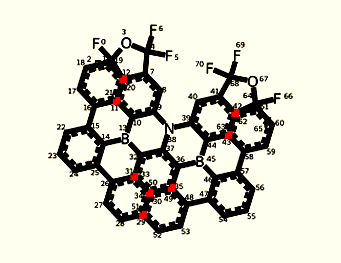 FC1(F)OC(F)(F)c2cc3c(cc21)B(c1c(-c2ccccc2)cccc1-c1ccccc1)c1cccc2c1N3c1cc3c(cc1B2c1c(-c2ccccc2)cccc1-c1ccccc1)C(F)(F)OC3(F)F